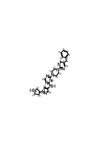 c1ccc(Cc2cnc(N3CCN(c4ncnc(Nc5cnn([C@H]6CCNC6)c5)n4)CC3)nc2)cc1